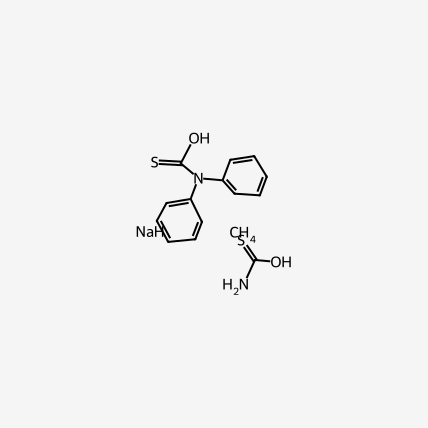 C.NC(O)=S.OC(=S)N(c1ccccc1)c1ccccc1.[NaH]